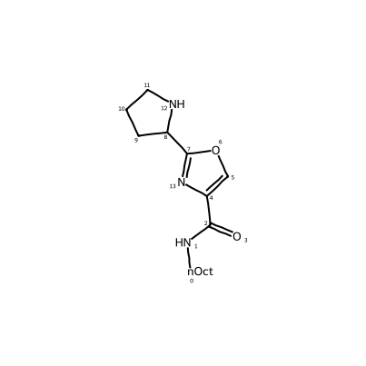 CCCCCCCCNC(=O)c1coc(C2CCCN2)n1